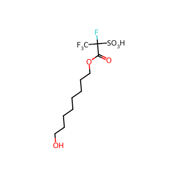 O=C(OCCCCCCCCO)C(F)(C(F)(F)F)S(=O)(=O)O